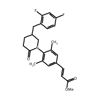 COC(=O)C=Cc1cc(C)c(N2CC(Cc3ccc(F)cc3F)CCC2=O)c(C)c1